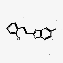 Cc1ccc2sc(C=Cc3ccccc3Cl)nc2c1